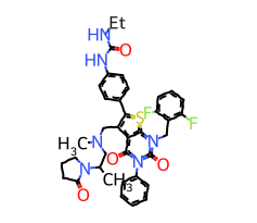 CCNC(=O)Nc1ccc(-c2sc3c(c2CN(C)CC(C)N2CCCC2=O)c(=O)n(-c2ccccc2)c(=O)n3Cc2c(F)cccc2F)cc1